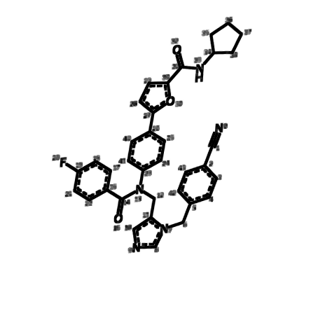 N#Cc1ccc(Cn2cncc2CN(C(=O)c2ccc(F)cc2)c2ccc(-c3ccc(C(=O)NC4CCCC4)o3)cc2)cc1